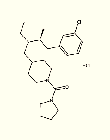 CCN(CC1CCN(C(=O)N2CCCC2)CC1)[C@@H](C)Cc1cccc(Cl)c1.Cl